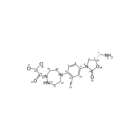 NC[C@H]1CN(c2ccc(N3CCNN(C(=O)C(Cl)Cl)CC3)c(F)c2)C(=O)O1